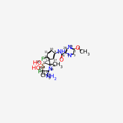 COc1cnc(C(=O)Nc2ccc(F)c(C3(C)CS(O)(O)C(C)(F)C(N)=N3)c2)cn1